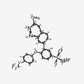 CNS(=O)(=O)c1ccc(Oc2ccc(C(F)(F)F)cc2)c(-c2ccc3cc(OC)nnc3c2)c1